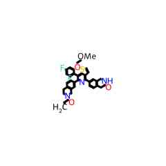 C=CC(=O)N1CCc2ccc(-c3nc(-c4ccc5c(c4)CNC(=O)C5)c4ccsc4c3-c3c(F)cc(F)cc3OCCOC)cc2C1